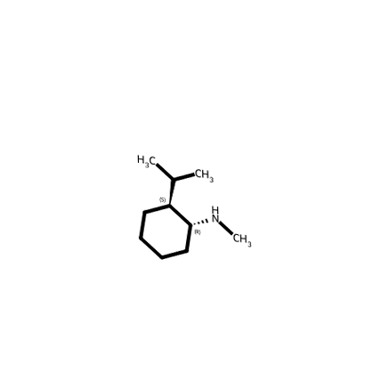 CN[C@@H]1CCCC[C@H]1C(C)C